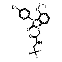 COc1cccc2c1n(-c1ccc(Br)cc1)c(=O)n2CC(=O)NCC(F)(F)F